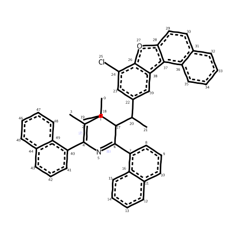 CC/C(C)=C(\N=C(\c1cccc2ccccc12)C(CC)C(C)c1cc(Cl)c2oc3ccc4ccccc4c3c2c1)c1cccc2ccccc12